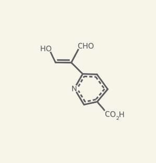 O=C/C(=C\O)c1ccc(C(=O)O)cn1